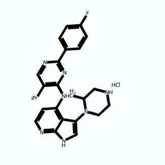 CC(C)c1cnc(-c2ccc(F)cc2)nc1Nc1ccnc2[nH]cc(N3CCNCC3C)c12.Cl